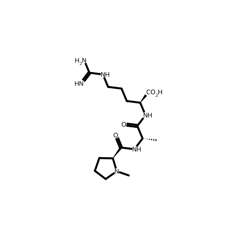 C[C@H](NC(=O)[C@@H]1CCCN1C)C(=O)N[C@@H](CCCNC(=N)N)C(=O)O